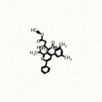 C#COC(=O)CC(O)C(c1c(-c2cc(C)cc(C)c2)cc(-c2ccccc2)nc1C(C)C)[PH](=O)O